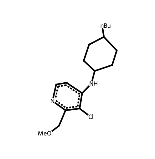 CCCCC1CCC(Nc2ccnc(COC)c2Cl)CC1